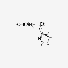 CCC(CN[C]=O)c1ccccn1